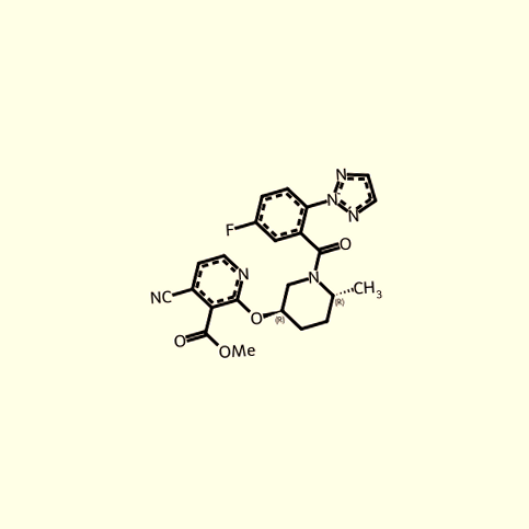 COC(=O)c1c(C#N)ccnc1O[C@@H]1CC[C@@H](C)N(C(=O)c2cc(F)ccc2-n2nccn2)C1